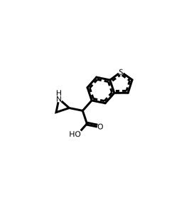 O=C(O)C(c1ccc2sccc2c1)C1CN1